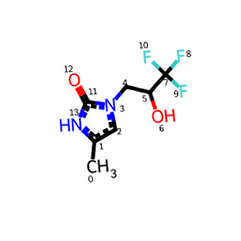 Cc1cn(CC(O)C(F)(F)F)c(=O)[nH]1